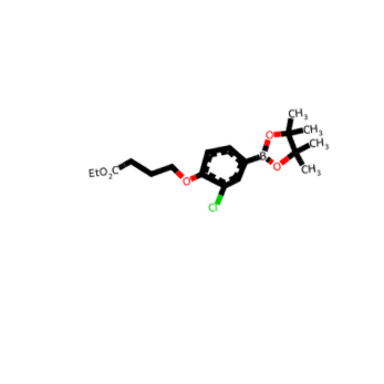 CCOC(=O)CCCOc1ccc(B2OC(C)(C)C(C)(C)O2)cc1Cl